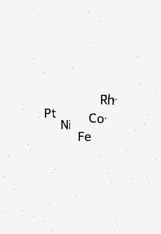 [Co].[Fe].[Ni].[Pt].[Rh]